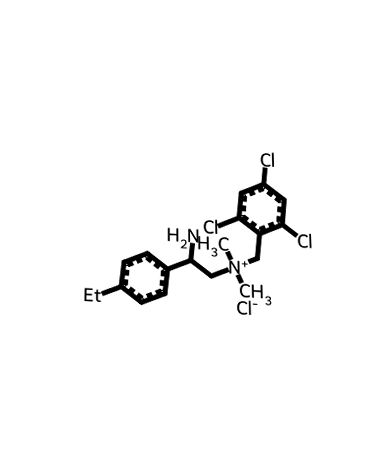 CCc1ccc(C(N)C[N+](C)(C)Cc2c(Cl)cc(Cl)cc2Cl)cc1.[Cl-]